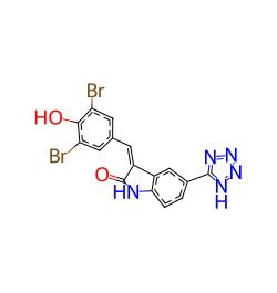 O=C1Nc2ccc(-c3nnn[nH]3)cc2/C1=C/c1cc(Br)c(O)c(Br)c1